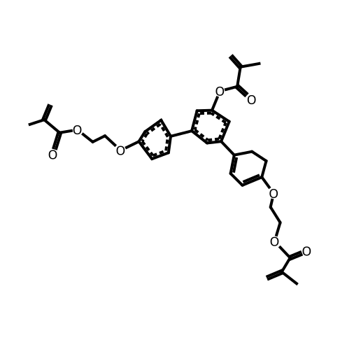 C=C(C)C(=O)OCCOC1=CC=C(c2cc(OC(=O)C(=C)C)cc(-c3ccc(OCCOC(=O)C(=C)C)cc3)c2)CC1